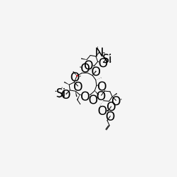 C=CCOC(=O)O[C@@H]1[C@H](C)O[C@H](O[C@@H]2[C@@H](C)[C@H](O[C@H]3O[C@@H](C)C[C@@H](N(C)C)[C@H]3O[Si](C)(C)C)[C@](C)(OC)C[C@H](C)C3(OC)O[C@](C)([C@H](CC)OC(=O)[C@@H]2C)[C@@H](O[Si](C)(C)C)[C@H]3C)C[C@]1(C)OC